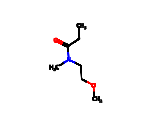 CCC(=O)N(C)CCOC